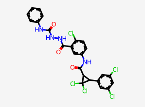 O=C(NNC(=O)c1cc(NC(=O)C2C(c3cc(Cl)cc(Cl)c3)C2(Cl)Cl)ccc1Cl)Nc1ccccc1